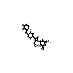 OCC1C(N2CCN(Cc3ccccc3)CC2)CN1c1cc(Cl)nc(C(F)(F)F)c1